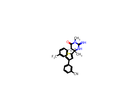 CN1C(=N)N[C@](C)(c2cc(-c3cccc(C#N)c3)cs2)[C@H](c2ccc(C(F)(F)F)cc2)C1=O